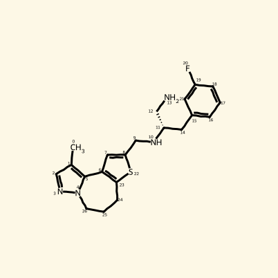 Cc1cnn2c1-c1cc(CN[C@H](CN)Cc3cccc(F)c3)sc1CCC2